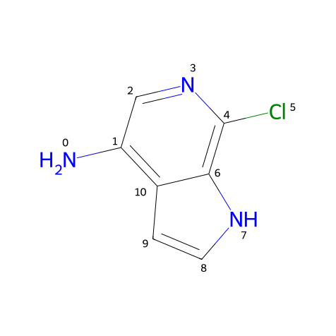 Nc1cnc(Cl)c2[nH]ccc12